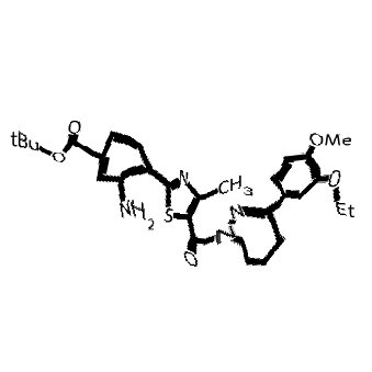 CCOc1cc(C2=NN(C(=O)c3sc(-c4ccc(C(=O)OC(C)(C)C)cc4N)nc3C)CCC2)ccc1OC